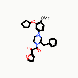 COc1ccc(N2CCN(C(=O)C(=O)c3ccco3)C(Cc3ccccc3)C2)cc1OC1CCCC1